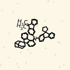 CC1(C)c2ccccc2-c2cc(N(c3ccc4c(c3)C3(CCCC3)c3ccccc3-4)c3cccc4c3-c3ccccc3C43C4CC5CC(C4)CC3C5)ccc21